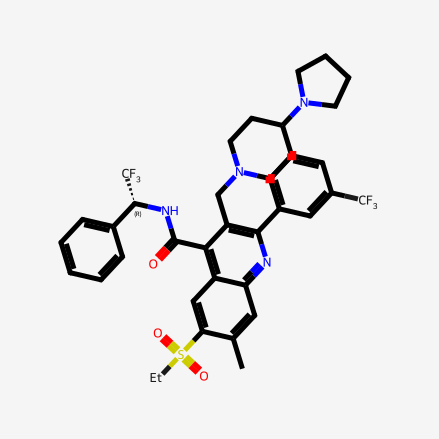 CCS(=O)(=O)c1cc2c(C(=O)N[C@H](c3ccccc3)C(F)(F)F)c(CN3CCC(N4CCCC4)CC3)c(-c3cccc(C(F)(F)F)c3)nc2cc1C